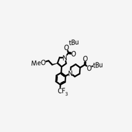 COCC[C@H]1CN(C(=O)OC(C)(C)C)CC1c1ccc(C(F)(F)F)cc1N1CCC(C(=O)OC(C)(C)C)CC1